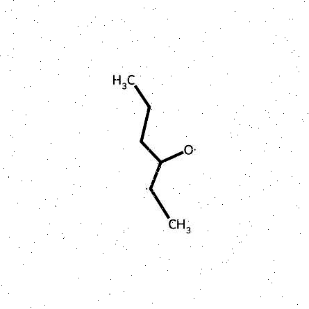 C[CH]C([O])CCC